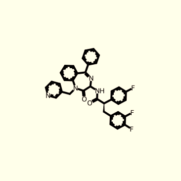 O=C(NC1N=C(c2ccccc2)c2ccccc2N(Cc2cccnc2)C1=O)[C@H](Cc1ccc(F)c(F)c1)c1ccc(F)cc1